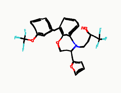 OC(CN1c2cccc(-c3cccc(OC(F)(F)F)c3)c2OCC1c1ccco1)C(F)(F)F